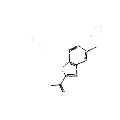 Cl.N=C(N)c1cc2cc(F)ccc2s1.O.O.O.O.O.O.O.O.O.O